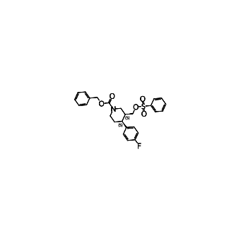 O=C(OCc1ccccc1)N1CC[C@H](c2ccc(F)cc2)[C@H](COS(=O)(=O)c2ccccc2)C1